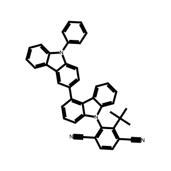 CC(C)(C)c1c(C#N)ccc(C#N)c1-n1c2ccccc2c2c(-c3ccc4c(c3)c3ccccc3n4-c3ccccc3)cccc21